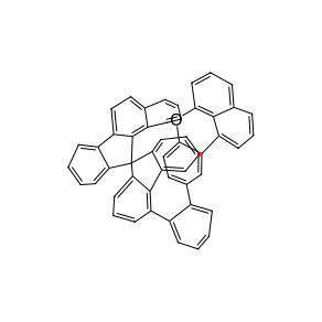 c1ccc(-c2cccc3c2-c2ccccc2C32c3ccccc3-c3ccc4ccccc4c32)c(-c2ccc3c(c2)-c2cccc4cccc(c24)O3)c1